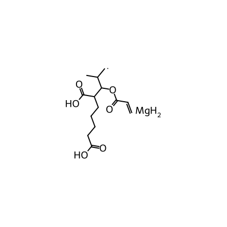 [CH2]C(C)C(OC(=O)C=C)C(CCCCC(=O)O)C(=O)O.[MgH2]